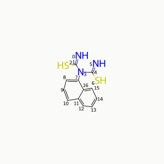 N=C(S)N(C(=N)S)c1cccc2ccccc12